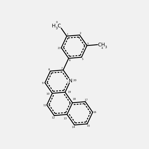 Cc1cc(C)cc(-c2ccc3ccc4ccccc4c3n2)c1